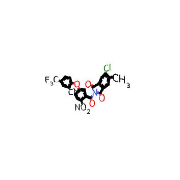 Cc1cc2c(cc1Cl)C(=O)N(C(=O)c1cc(Oc3ccc(C(F)(F)F)cc3C#N)ccc1[N+](=O)[O-])C2=O